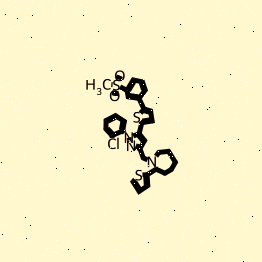 CS(=O)(=O)c1cccc(-c2ccc(-c3cc(CN4CCCCCC4c4cccs4)nn3-c3ccccc3Cl)s2)c1